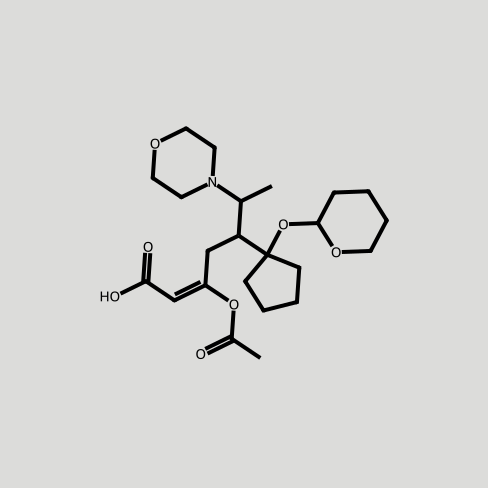 CC(=O)OC(=CC(=O)O)CC(C(C)N1CCOCC1)C1(OC2CCCCO2)CCCC1